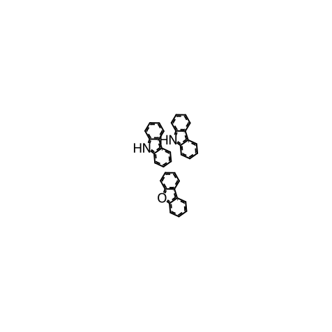 c1ccc2c(c1)[nH]c1ccccc12.c1ccc2c(c1)[nH]c1ccccc12.c1ccc2c(c1)oc1ccccc12